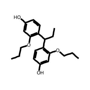 CCCOc1cc(O)ccc1C(CC)c1ccc(O)cc1OCCC